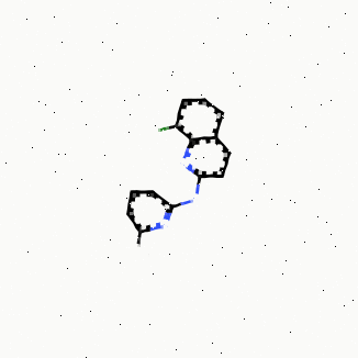 FC(F)(F)c1cccc(Nc2ccc3cccc(Cl)c3n2)n1